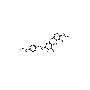 CCOc1ccc(COc2cc3c(c(F)c2F)Oc2c(ccc(OCC)c2F)C3)cc1F